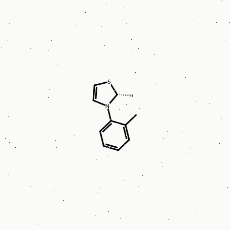 Cc1ccccc1N1C=CS[C@@H]1C